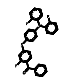 O=C(c1ccccc1)c1ccc(Sc2ccc([S+](c3ccccc3F)c3ccccc3F)cc2)cc1F